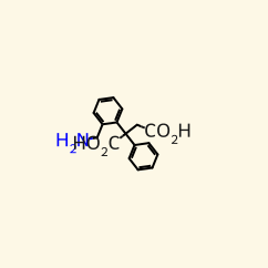 NCc1ccccc1C(CC(=O)O)(C(=O)O)c1ccccc1